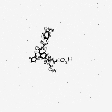 COc1ccc2nc(NC(=O)[C@H](CC3CCCC3)c3ccc(S(=O)(=O)N(CCOC(C)C)CCC(=O)O)cc3)sc2n1